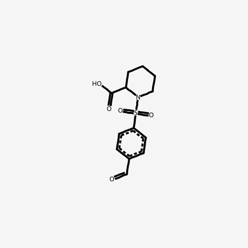 O=Cc1ccc(S(=O)(=O)N2CCCCC2C(=O)O)cc1